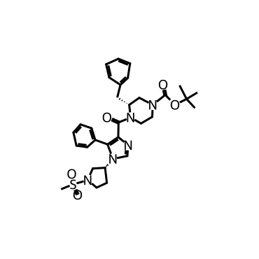 CC(C)(C)OC(=O)N1CCN(C(=O)c2ncn([C@@H]3CCN(S(C)(=O)=O)C3)c2-c2ccccc2)[C@H](Cc2ccccc2)C1